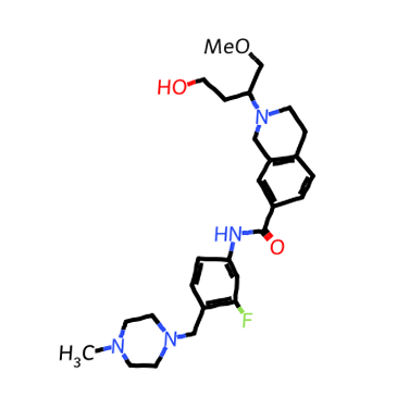 COCC(CCO)N1CCc2ccc(C(=O)Nc3ccc(CN4CCN(C)CC4)c(F)c3)cc2C1